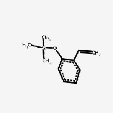 C=Cc1ccccc1O[Si](C)(C)C